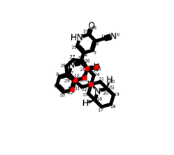 N#Cc1cc(-c2nc3ccccc3n([C@H]3C[C@H]4CCC[C@@H](C3)N4[C@@H]3C[C@@H]4CCCC[C@@H](C4)C3)c2=O)c[nH]c1=O